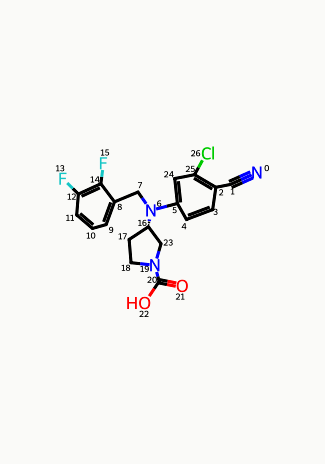 N#Cc1ccc(N(Cc2cccc(F)c2F)[C@H]2CCN(C(=O)O)C2)cc1Cl